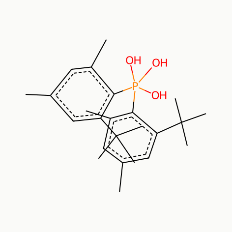 Cc1cc(C)c(P(O)(O)(O)c2c(C)cc(C)cc2C(C)(C)C)c(C(C)(C)C)c1